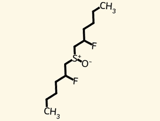 CCCCC(F)C[S+]([O-])CC(F)CCCC